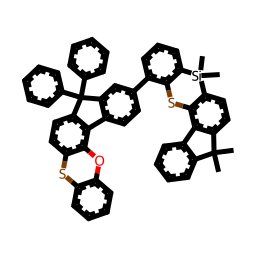 CC1(C)c2ccccc2-c2c1ccc1c2Sc2c(-c3ccc4c(c3)C(c3ccccc3)(c3ccccc3)c3ccc5c(c3-4)Oc3ccccc3S5)cccc2[Si]1(C)C